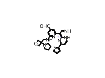 N=C/C(=C1/N=C(c2cccs2)C=CN1)c1cc(C=O)cc(NCC2(N3CCCC3)COC2)n1